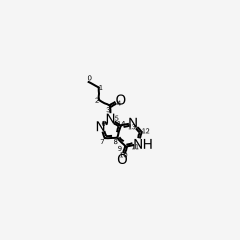 CCCC(=O)n1ncc2c(=O)[nH]cnc21